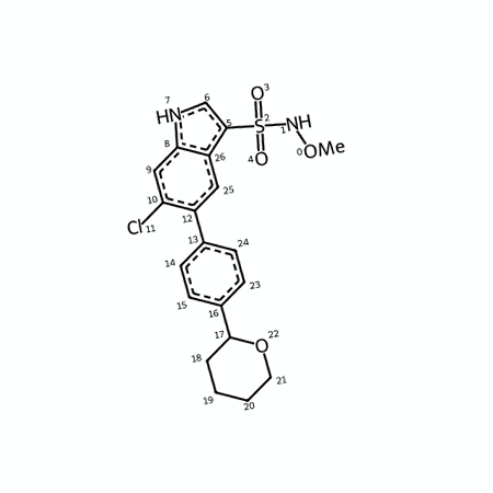 CONS(=O)(=O)c1c[nH]c2cc(Cl)c(-c3ccc(C4CCCCO4)cc3)cc12